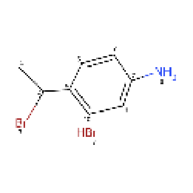 Br.CC(Br)c1ccc(N)cc1